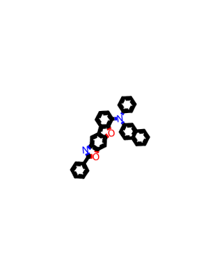 c1ccc(-c2nc3cc4c(cc3o2)oc2c(N(c3ccccc3)c3ccc5ccccc5c3)cccc24)cc1